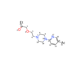 CCC(=O)COCCN1CCN(c2ccc(C(C)=O)cn2)CC1